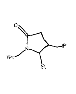 CCC1C(C(C)C)CC(=O)N1C(C)C